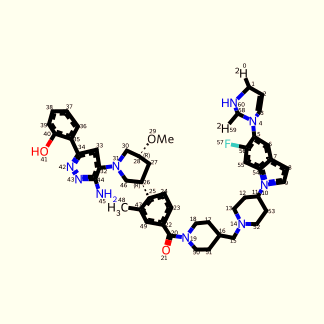 [2H]C1C=CN(c2cc3ccn(C4CCN(CC5CCN(C(=O)c6ccc([C@H]7C[C@@H](OC)CN(c8cc(-c9ccccc9O)nnc8N)C7)c(C)c6)CC5)CC4)c3cc2F)C([2H])N1